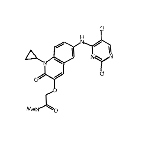 CNC(=O)COc1cc2cc(Nc3nc(Cl)ncc3Cl)ccc2n(C2CC2)c1=O